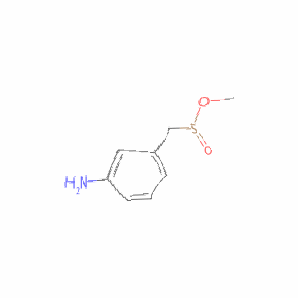 COS(=O)Cc1cccc(N)c1